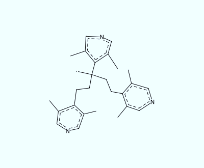 [CH2]C(CCc1c(C)cncc1C)(CCc1c(C)cncc1C)c1c(C)cncc1C